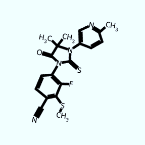 CSc1c(C#N)ccc(N2C(=O)C(C)(C)N(c3ccc(C)nc3)C2=S)c1F